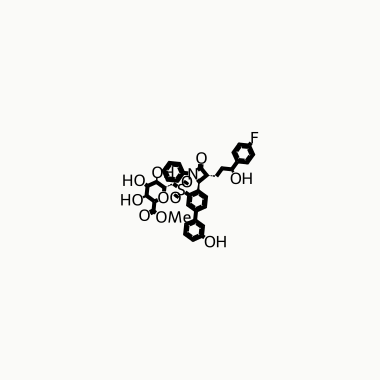 COC(=O)C1O[C@@H](CS(=O)(=O)c2cc(-c3cccc(O)c3)ccc2[C@@H]2[C@@H](CC[C@H](O)c3ccc(F)cc3)C(=O)N2c2ccccc2)[C@@H](O)C(O)[C@@H]1O